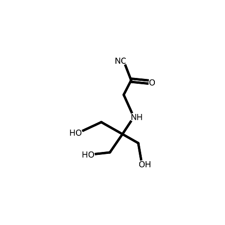 N#CC(=O)CNC(CO)(CO)CO